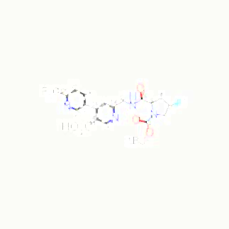 CC(C)(C)OC(=O)N1C[C@H](F)CC1C(=O)NCc1cc(-c2ccc(C(F)(F)F)nc2)c(C(=O)O)cn1